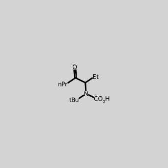 CCCC(=O)C(CC)N(C(=O)O)C(C)(C)C